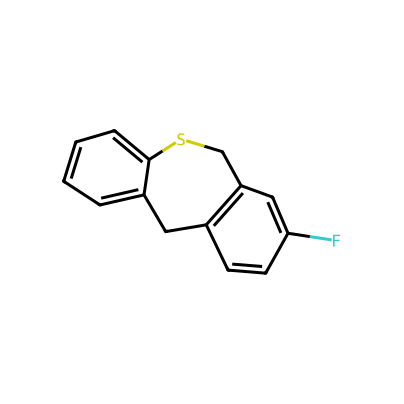 Fc1ccc2c(c1)CSc1ccccc1C2